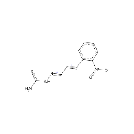 NC(=S)N/N=C/C=C/c1ccccc1[N+](=O)[O-]